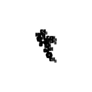 CC(=O)N[C@H]1CCN(C(=O)c2nn(C(C)(C)C)c3nc(NC(=O)c4ccc(C)cc4)sc23)C1